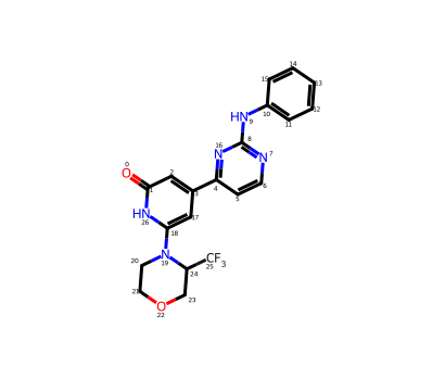 O=c1cc(-c2ccnc(Nc3ccccc3)n2)cc(N2CCOCC2C(F)(F)F)[nH]1